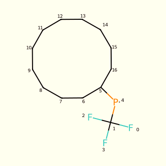 FC(F)(F)[P]C1CCCCCCCCCCC1